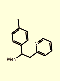 CNC(Cc1ccccn1)c1ccc(C)cc1